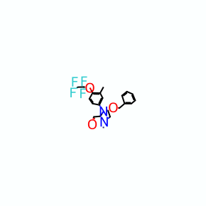 Cc1cc(N2C(OCc3ccccc3)CN(C)C2C=O)ccc1OC(F)(F)C(F)F